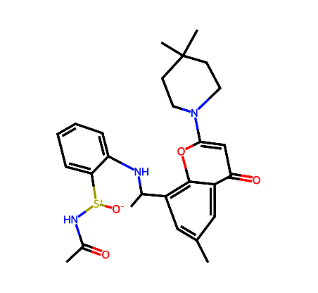 CC(=O)N[S+]([O-])c1ccccc1NC(C)c1cc(C)cc2c(=O)cc(N3CCC(C)(C)CC3)oc12